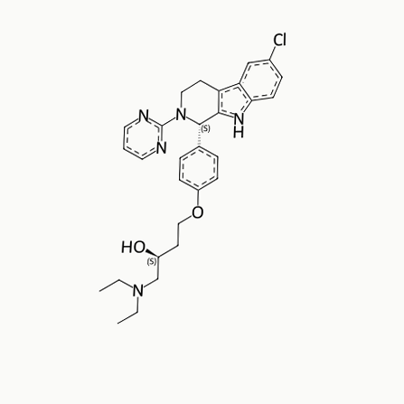 CCN(CC)C[C@@H](O)CCOc1ccc([C@H]2c3[nH]c4ccc(Cl)cc4c3CCN2c2ncccn2)cc1